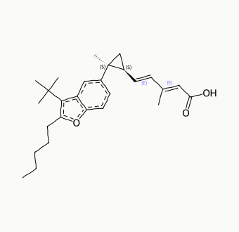 CCCCCc1oc2ccc([C@@]3(C)C[C@H]3/C=C/C(C)=C/C(=O)O)cc2c1C(C)(C)C